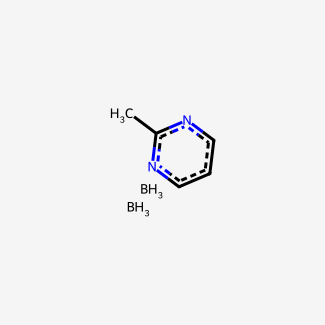 B.B.Cc1ncccn1